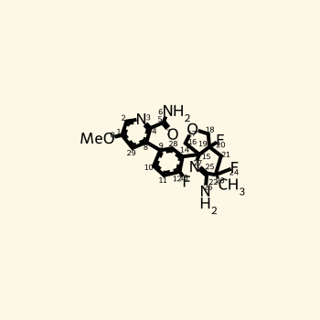 COc1cnc(C(N)=O)c(-c2ccc(F)c(C34COCC3(F)C[C@](C)(F)C(N)=N4)c2)c1